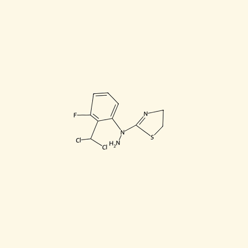 NN(C1=NCCS1)c1cccc(F)c1C(Cl)Cl